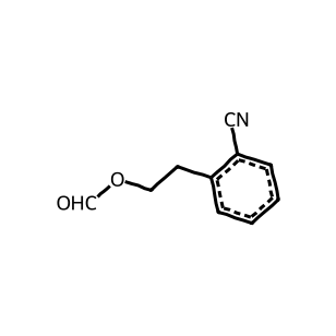 N#Cc1ccccc1CCOC=O